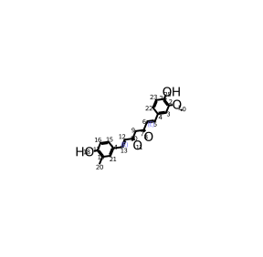 COc1cc(/C=C/C(=O)CC(=O)/C=C/c2ccc(O)c(C)c2)ccc1O